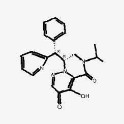 CC(C)N1C[C@@H]([C@@H](c2ccccc2)c2ccccn2)n2ncc(=O)c(O)c2C1=O